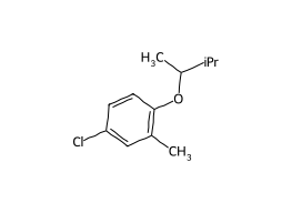 Cc1cc(Cl)ccc1OC(C)C(C)C